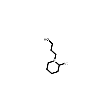 CCC1CCCCN1CCCO